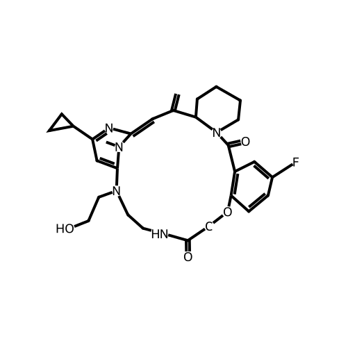 C=C1/C=C2/N=C(C3CC3)C=C(N(CCO)CCNC(=O)COc3ccc(F)cc3C(=O)N3CCCCC13)N2C